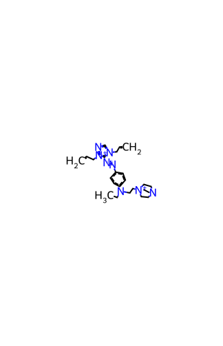 C=CCn1cn[n+](CC=C)c1/N=N/c1ccc(N(CC)CC[N+]23CCN(CC2)CC3)cc1